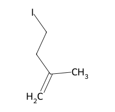 C=C(C)CCI